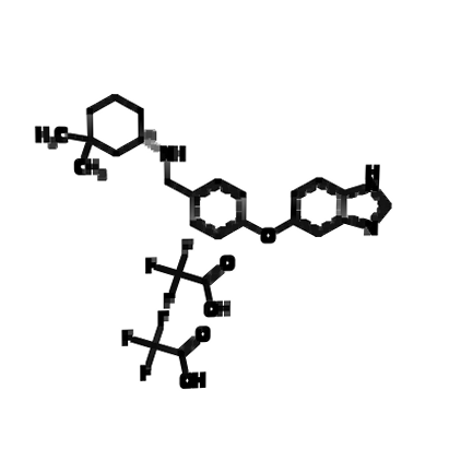 CC1(C)CCC[C@H](NCc2ccc(Oc3ccc4[nH]cnc4c3)cc2)C1.O=C(O)C(F)(F)F.O=C(O)C(F)(F)F